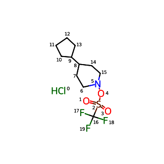 Cl.O=S(=O)(ON1CCC(C2CCCC2)CC1)C(F)(F)F